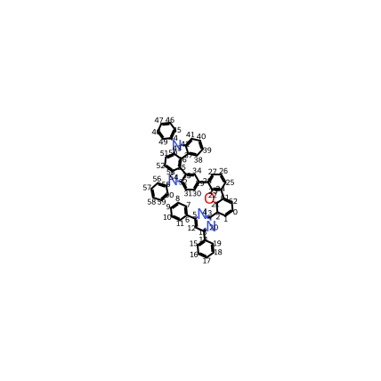 C1=CC(c2nc(-c3ccccc3)cc(-c3ccccc3)n2)C2Oc3c(cccc3-c3ccc4c(c3)c3c5c6ccccc6n(-c6ccccc6)c5ccc3n4-c3ccccc3)C2=C1